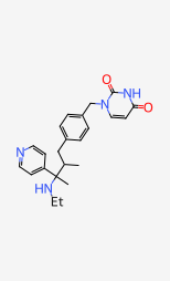 CCNC(C)(c1ccncc1)C(C)Cc1ccc(Cn2ccc(=O)[nH]c2=O)cc1